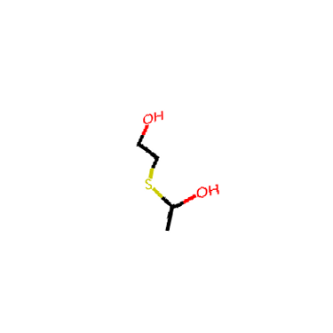 CC(O)SCCO